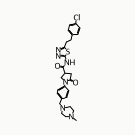 CN1CCN(Cc2ccc(N3CC(C(=O)Nc4nnc(CCc5ccc(Cl)cc5)s4)CC3=O)cc2)CC1